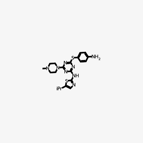 CC(C)c1cnc(Nc2nc(Sc3ccc(N)cc3)nc(N3CCN(C)CC3)n2)s1